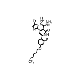 CCc1cnc(-c2cc(-c3ccc(OCCCCCC(F)(F)F)cc3F)[nH]c(=O)c2/C(=N/N)NN)s1